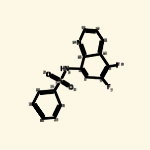 O=S(=O)(Nc1cc(F)c(F)c2cccnc12)c1ccccc1